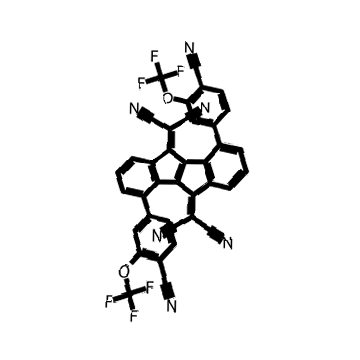 N#CC(C#N)=C1C2=C(C(=C(C#N)C#N)c3cccc(-c4ccc(C#N)c(OC(F)(F)F)c4)c32)c2c1cccc2-c1ccc(C#N)c(OC(F)(F)F)c1